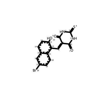 O=C1NC(=S)NC(=O)C1=Cc1c(O)ccc2cc(Br)ccc12